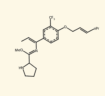 C/C=C(\N=C(/OC)C1CCCN1)c1ccc(OC/C=C/CCC)c(C(F)(F)F)c1